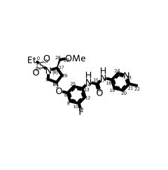 CCS(=O)(=O)N1C[C@@H](Oc2cc(F)cc(NC(=O)Nc3ccc(C)nc3)c2)C[C@@H]1COC